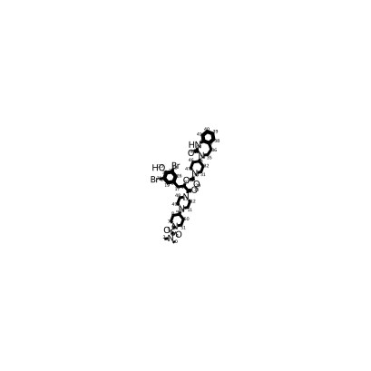 CN(C)S(=O)(=O)N1CCC(N2CCN(C(=O)C(Cc3cc(Br)c(O)c(Br)c3)OC(=O)N3CCC(N4CCc5ccccc5NC4=O)CC3)CC2)CC1